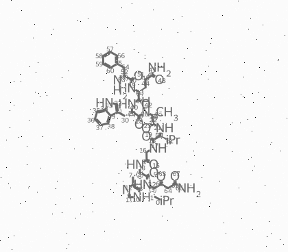 CC(C)C[C@H](NC(=O)[C@H](Cc1c[nH]cn1)NC(=O)CNC(=O)[C@@H](NC(=O)[C@H](C)NC(=O)[C@H](Cc1c[nH]c2ccccc12)NC(=O)[C@H](CCC(N)=O)NC(=O)[C@H](N)Cc1ccccc1)C(C)C)C(=O)CC(N)=O